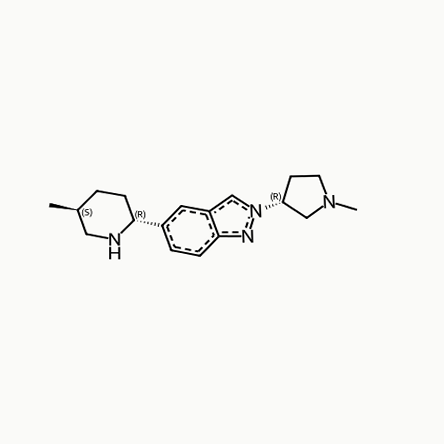 C[C@H]1CC[C@H](c2ccc3nn([C@@H]4CCN(C)C4)cc3c2)NC1